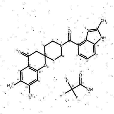 Cc1nc2c(C(=O)N3CCC4(CC3)CC(=O)c3cc(C)c(C)cc3O4)cccc2[nH]1.O=C(O)C(F)(F)F